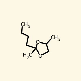 CCCCC1(C)OCC(C)O1